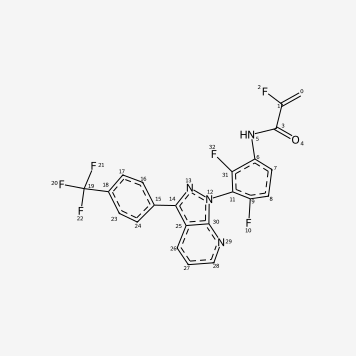 C=C(F)C(=O)Nc1ccc(F)c(-n2nc(-c3ccc(C(F)(F)F)cc3)c3cccnc32)c1F